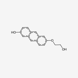 OCCOc1ccc2cc3cc(O)ccc3cc2c1